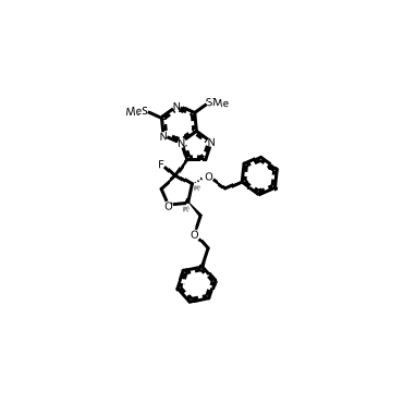 CSc1nc(SC)c2ncc(C3(F)CO[C@H](COCc4ccccc4)[C@H]3OCc3ccccc3)n2n1